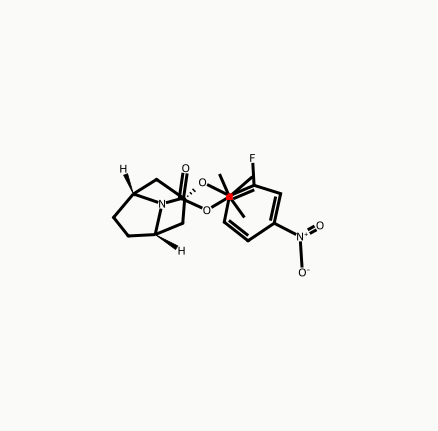 CC(C)(C)OC(=O)N1[C@@H]2CC[C@H]1C[C@@H](Oc1ccc([N+](=O)[O-])cc1F)C2